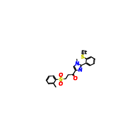 CCSc1ccccc1-c1nc(C(=O)CCS(=O)(=O)c2ccccc2C)cn1C